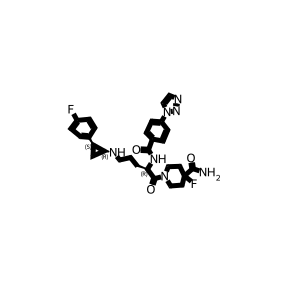 NC(=O)C1(F)CCN(C(=O)[C@@H](CCCN[C@@H]2C[C@H]2c2ccc(F)cc2)NC(=O)c2ccc(-n3ccnn3)cc2)CC1